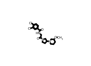 COC1CCCN(C2CCN(C(=O)CNC(=O)c3ccc(Cl)c(Cl)c3)C2)C1